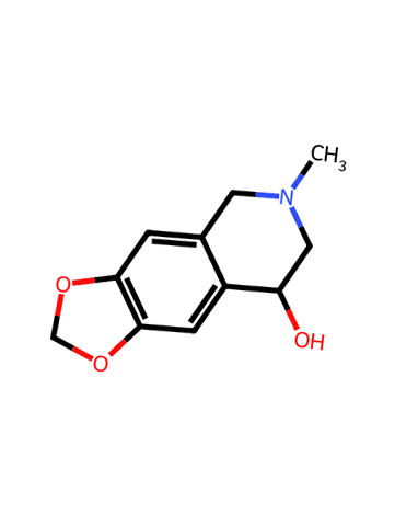 CN1Cc2cc3c(cc2C(O)C1)OCO3